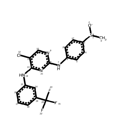 C[S+]([O-])c1ccc(Nc2ncc(Cl)c(Nc3cccc(C(F)(F)F)c3)n2)cc1